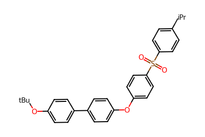 CC(C)c1ccc(S(=O)(=O)c2ccc(Oc3ccc(-c4ccc(OC(C)(C)C)cc4)cc3)cc2)cc1